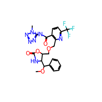 COC(c1ccccc1)C1NC(=O)OC1COCc1nc(C(F)(F)F)ccc1C(=O)Nc1nnnn1C